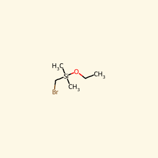 CCO[Si](C)(C)CBr